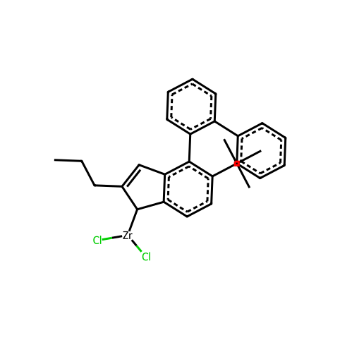 CCCC1=Cc2c(ccc(C(C)(C)C)c2-c2ccccc2-c2ccccc2)[CH]1[Zr]([Cl])[Cl]